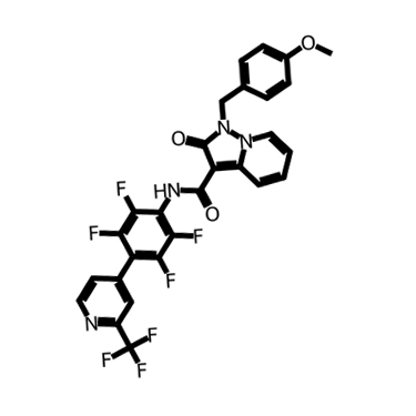 COc1ccc(Cn2c(=O)c(C(=O)Nc3c(F)c(F)c(-c4ccnc(C(F)(F)F)c4)c(F)c3F)c3ccccn32)cc1